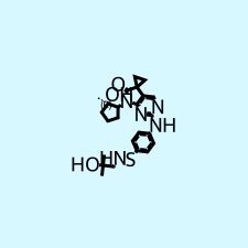 CC(C)(O)CNSc1ccc(Nc2ncc3c(n2)N(C2CCC[C@@]2(C)O)C(=O)C32CC2)cc1